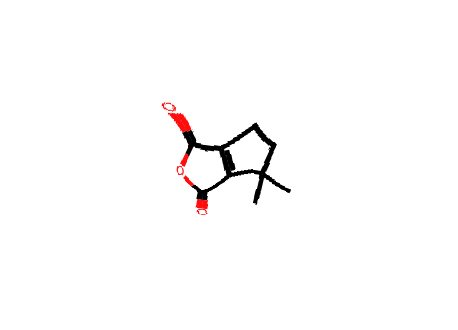 CC1(C)CCC2=C1C(=O)OC2=O